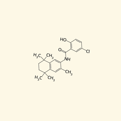 Cc1cc2c(cc1NC(=O)c1cc(Cl)ccc1O)C(C)(C)CCC2(C)C